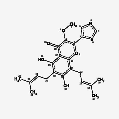 COc1c(-c2cncs2)oc2c(CC=C(C)C)c(O)c(CC=C(C)C)c(O)c2c1=O